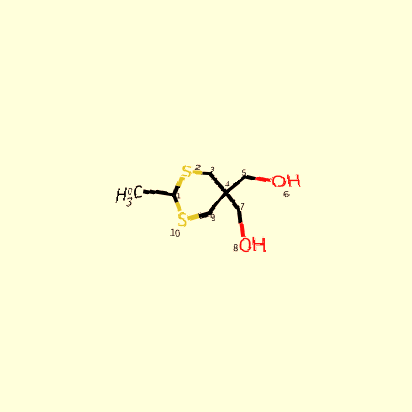 CC1SCC(CO)(CO)CS1